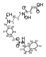 CCN(CCCCN(O)C(=O)/C=C/C(=O)O)Cc1ccc(COC(=O)Nc2cccc3ccccc23)cc1